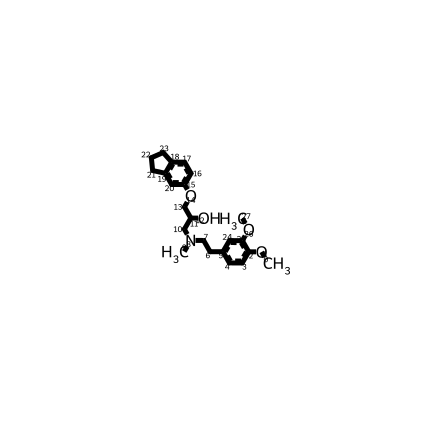 COc1ccc(CCN(C)CC(O)COc2ccc3c(c2)CCC3)cc1OC